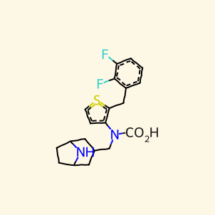 O=C(O)N(CC1CC2CCC(C1)N2)c1ccsc1Cc1cccc(F)c1F